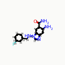 NC(=O)c1cc2c(cc1N)ncn2NCc1cccc(F)c1